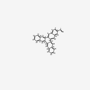 C=Cc1ccc2cc3c4cc5ccccc5cc4c4cc5ccccc5cc4c3cc2c1